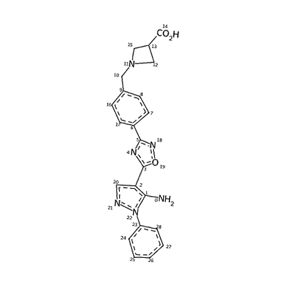 Nc1c(-c2nc(-c3ccc(CN4CC(C(=O)O)C4)cc3)no2)cnn1-c1ccccc1